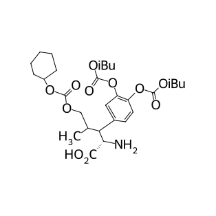 CC(C)COC(=O)Oc1ccc(C(C(C)COC(=O)OC2CCCCC2)[C@H](N)C(=O)O)cc1OC(=O)OCC(C)C